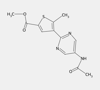 COC(=O)c1cc(-c2ncc(NC(C)=O)cn2)c(C)s1